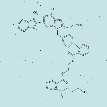 CCCCC(C)c1ccccc1C(=O)OCCOC(=O)c1ccccc1-c1ccc(Cn2c(CCC)nc3c(C)cc(-c4nc5ccccc5n4C)cc32)cc1